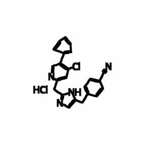 Cl.N#Cc1ccc(Cc2cnc(Cc3cc(Cl)c(-c4ccccc4)cn3)[nH]2)cc1